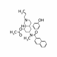 C=CCN1CC[C@@]2(c3cccc(O)c3)C[C@H](N(C)C(=O)c3ccc4ccccc4c3)CC(OC(C)=O)[C@@H]2C1